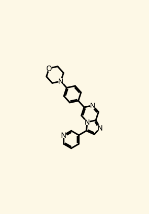 c1cncc(-c2cnc3cnc(-c4ccc(N5CCOCC5)cc4)cn23)c1